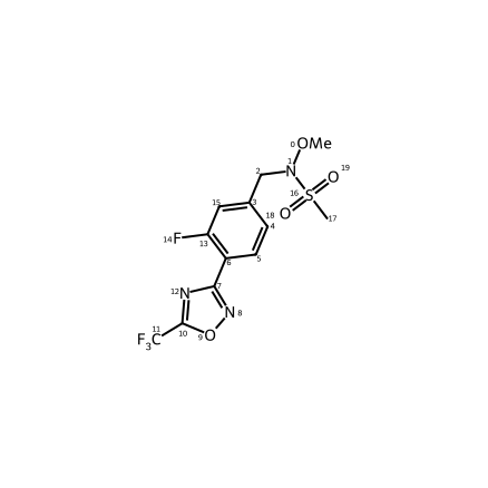 CON(Cc1ccc(-c2noc(C(F)(F)F)n2)c(F)c1)S(C)(=O)=O